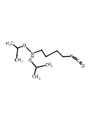 CC(C)O[SiH](CCCCN=C=O)OC(C)C